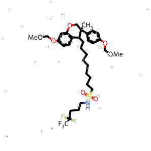 COCOc1ccc(C2(C)COc3cc(OCOC)ccc3C2CCCCCCCCCS(=O)(=O)NCCCC(F)(F)C(F)(F)F)cc1